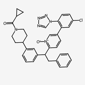 O=C(C1CC1)N1CCC(c2cccc(C(Cc3ccccc3)c3ccc(-c4cc(Cl)ccc4-n4cnnn4)c[n+]3[O-])c2)CC1